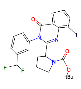 CC(C)(C)OC(=O)N1CCCC1c1nc2c(I)cccc2c(=O)n1-c1cccc(C(F)F)c1